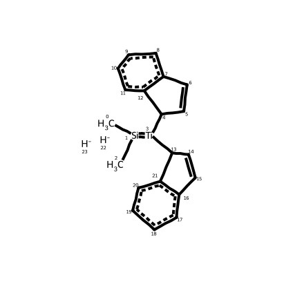 C[Si](C)=[Ti]([CH]1C=Cc2ccccc21)[CH]1C=Cc2ccccc21.[H-].[H-]